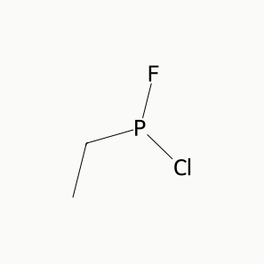 CCP(F)Cl